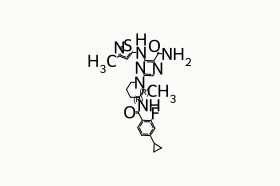 Cc1cc(Nc2nc(N3CCC[C@@H](NC(=O)c4ccc(C5CC5)cc4F)[C@H]3C)cnc2C(N)=O)sn1